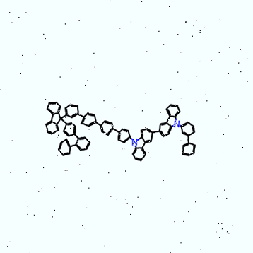 c1ccc(-c2cccc(-n3c4ccccc4c4cc(-c5ccc6c(c5)c5ccccc5n6-c5ccc(-c6ccc(-c7ccc(-c8cccc(C9(c%10ccc(-c%11ccccc%11-c%11ccccc%11)cc%10)c%10ccccc%10-c%10ccccc%109)c8)cc7)cc6)cc5)ccc43)c2)cc1